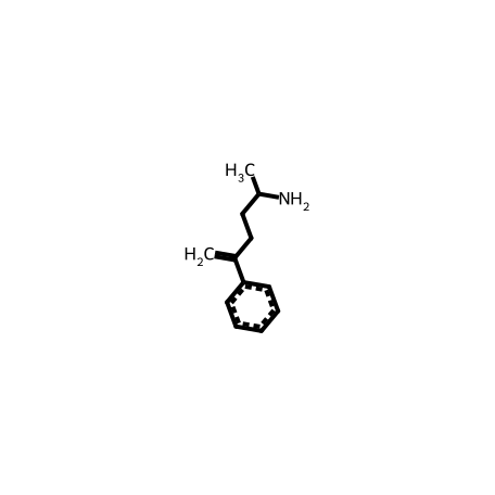 C=C(CCC(C)N)c1ccccc1